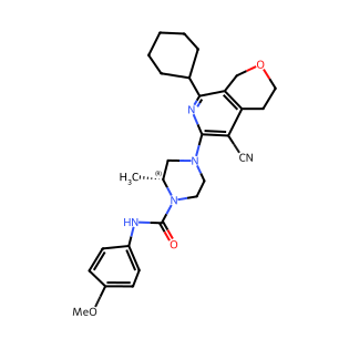 COc1ccc(NC(=O)N2CCN(c3nc(C4CCCCC4)c4c(c3C#N)CCOC4)C[C@H]2C)cc1